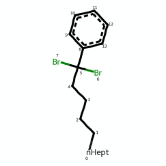 CCCCCCCCCCCC(Br)(Br)c1ccccc1